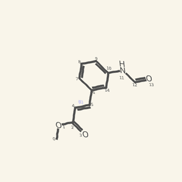 COC(=O)/C=C/c1cccc(NC=O)c1